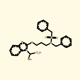 CC(C)(C)C(C(=O)O)n1c(SCCCN(Cc2ccccc2)S(=O)(=O)Cc2ccccc2)nc2ccccc21